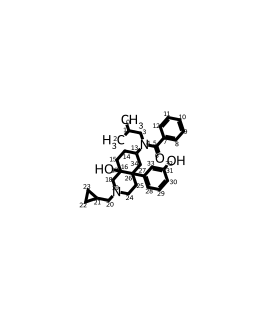 CC(C)CN(C(=O)c1ccccc1)C1CCC2(O)CN(CC3CC3)CCC2(c2cccc(O)c2)C1